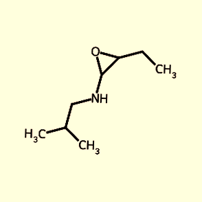 CCC1OC1NCC(C)C